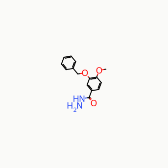 COc1ccc(C(=O)NN)cc1OCc1ccccc1